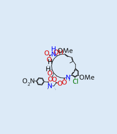 COc1cc2cc(c1Cl)N(C)C(=O)C[C@H](OC(=O)[C@H](C)N(C)C(=O)c1ccc([N+](=O)[O-])cc1)[C@]1(C)O[C@H]1[C@H](C)[C@@H]1C[C@@](O)(NC(=O)O1)[C@H](OC)/C=C/C=C(\C)C2